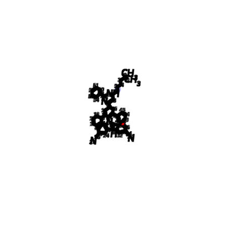 CC(C)CC/C=C/C1C=C(C2C=C(C3C=CC=CC3)C(n3c4c(c5cc(C#N)ccc53)[C@H]3C=C(C#N)C=CC43)=C(c3ccccc3)C2)N=C(c2ccccc2)N1